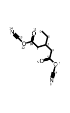 CCC(CC(=O)OC#N)CC(=O)OC#N